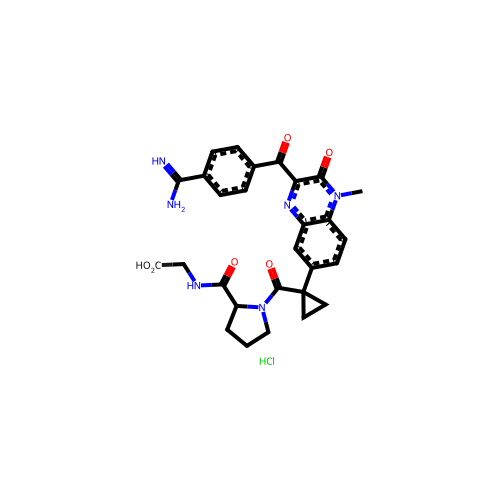 Cl.Cn1c(=O)c(C(=O)c2ccc(C(=N)N)cc2)nc2cc(C3(C(=O)N4CCCC4C(=O)NCC(=O)O)CC3)ccc21